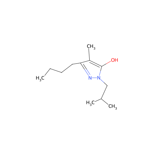 CCCCc1nn(CC(C)C)c(O)c1C